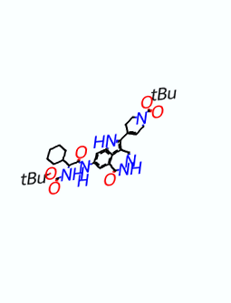 CC(C)(C)OC(=O)NC(C(=O)Nc1cc2c3c(c(C4=CCN(C(=O)OC(C)(C)C)CC4)[nH]c3c1)C=NNC2=O)C1CCCCC1